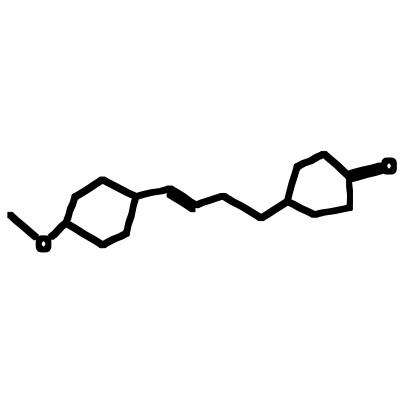 COC1CCC(C=CCCC2CCC(=O)CC2)CC1